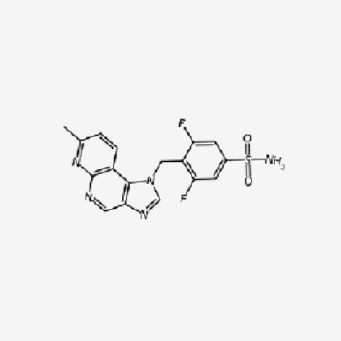 Cc1ccc2c(ncc3ncn(Cc4c(F)cc(S(N)(=O)=O)cc4F)c32)n1